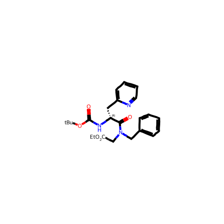 CCOC(=O)CN(Cc1ccccc1)C(=O)[C@@H](Cc1ccccn1)NC(=O)OC(C)(C)C